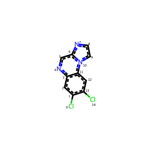 Clc1cc2ncc3nccn3c2cc1Cl